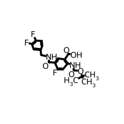 CC(C)(C)OC(=O)Nc1cc(F)c(C(=O)NCc2ccc(F)c(F)c2)cc1C(=O)O